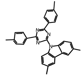 Cc1ccc(-c2nc(-c3ccc(C)cc3)nc(-n3c4ccc(C)cc4c4cc(C)ccc43)n2)cc1